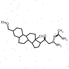 CCOCC1CCC2C(CCC3C2CCC2(C)C(C(=O)CN(N)/N=C(/C)N)CCC32)C1